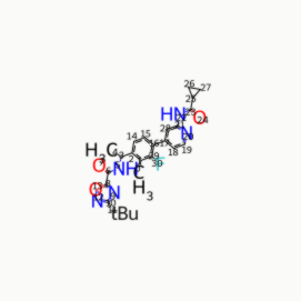 Cc1c(C(C)NC(=O)c2nc(C(C)(C)C)no2)ccc(-c2ccnc(NC(=O)C3CC3)c2)c1F